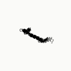 CC(OC(=O)CC(N)CN)C(C)n1ncn(-c2ccc(N3CCN(c4ccc(OCC5COC(Cn6cncn6)(c6ccc(Cl)cc6Cl)O5)cc4)CC3)cc2)c1=O